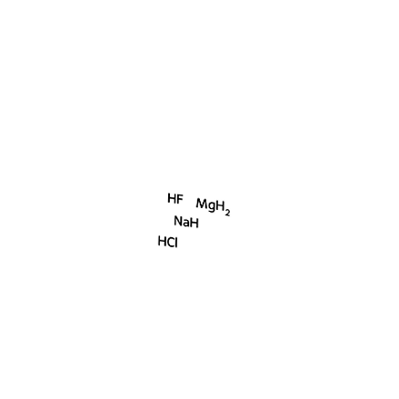 Cl.F.[MgH2].[NaH]